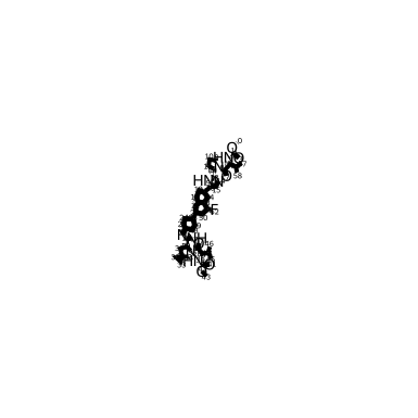 COC(=O)N[C@H](C(=O)N1CCC[C@H]1c1ncc(-c2ccc3cc(-c4ccc5nc([C@@H]6CC7(CC7)CN6C(=O)[C@@H](NC(=O)OC)C(C)C)[nH]c5c4)cc(F)c3c2)[nH]1)C(C)C